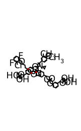 COc1ccc(CN(C(=O)C2=C(c3ccc(CCCOc4c(F)ccc(F)c4Cl)cc3)CC3CC(COC(=O)Oc4cccc(CON(O)O)c4)CC2N3C(=O)Oc2cccc(CON(O)O)c2)C2CC2)cc1C